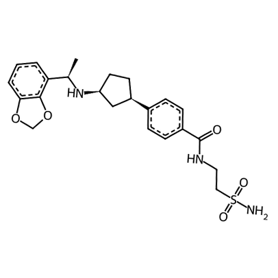 C[C@@H](N[C@H]1CC[C@@H](c2ccc(C(=O)NCCS(N)(=O)=O)cc2)C1)c1cccc2c1OCO2